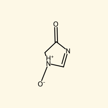 O=C1C[NH+]([O-])C=N1